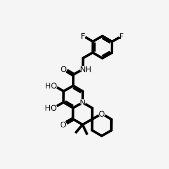 CC1(C)C(=O)C2=C(O)C(O)C(C(=O)NCc3ccc(F)cc3F)=CN2CC12CCCCO2